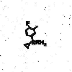 Cc1cc([C@@H](N)C2CC2)ccc1F